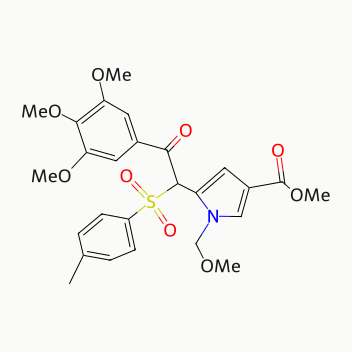 COCn1cc(C(=O)OC)cc1C(C(=O)c1cc(OC)c(OC)c(OC)c1)S(=O)(=O)c1ccc(C)cc1